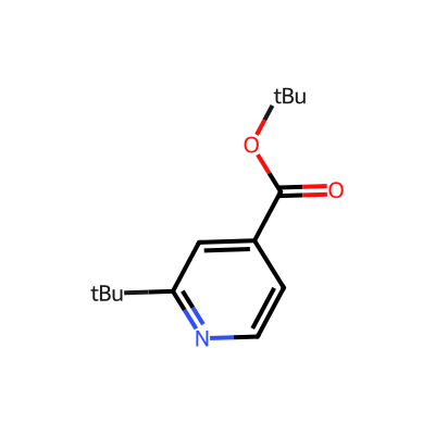 CC(C)(C)OC(=O)c1ccnc(C(C)(C)C)c1